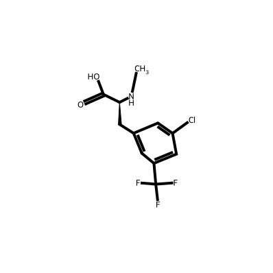 CN[C@@H](Cc1cc(Cl)cc(C(F)(F)F)c1)C(=O)O